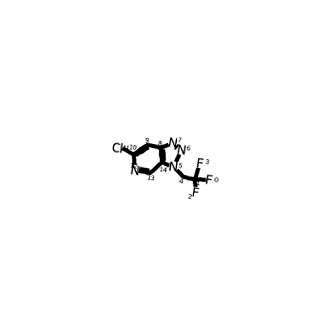 FC(F)(F)Cn1nnc2cc(Cl)ncc21